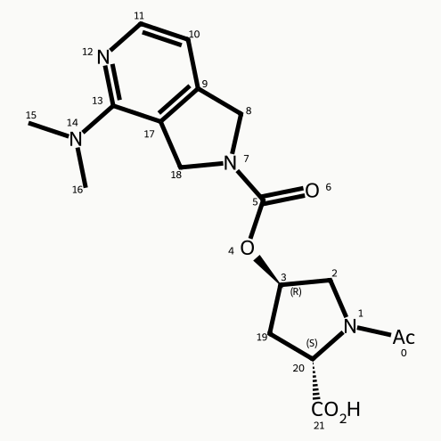 CC(=O)N1C[C@H](OC(=O)N2Cc3ccnc(N(C)C)c3C2)C[C@H]1C(=O)O